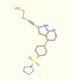 O=S(=O)(c1ccc(-c2ccnc3[nH]c(C#CCCO)cc23)cc1)N1CCCC1